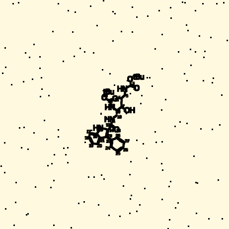 CC(C)(C)OC(=O)NCCC(O)[C@H](CNC(=O)c1[nH]c2ccccc2c1-c1ccccc1)NC(=O)OC(C)(C)C